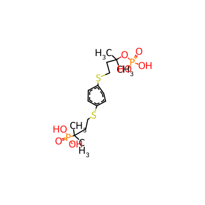 CC(C)(CCSc1ccc(SCCC(C)(C)P(=O)(O)O)cc1)OP(=O)(O)O